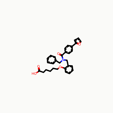 O=C(O)CCCCCOc1ccccc1CN(Cc1ccccc1)C(=O)c1ccc(-c2ccco2)cc1